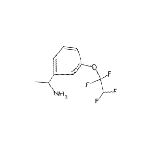 CC(N)c1cccc(OC(F)(F)C(F)F)c1